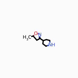 CC1CC(C2CCNCC2)=NO1